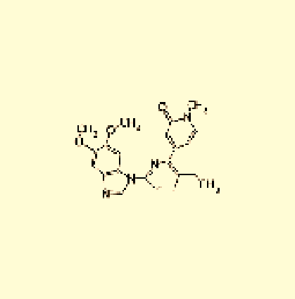 CCc1ccc(-n2cnc3cc(OC)c(OC)cc32)nc1-c1ccn(C)c(=O)c1